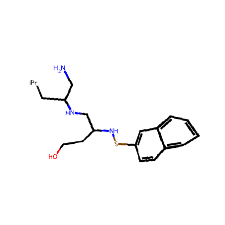 CC(C)CC(CN)NCC(CCO)NSc1ccc2ccccc2c1